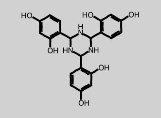 Oc1ccc(C2NC(c3ccc(O)cc3O)NC(c3ccc(O)cc3O)N2)c(O)c1